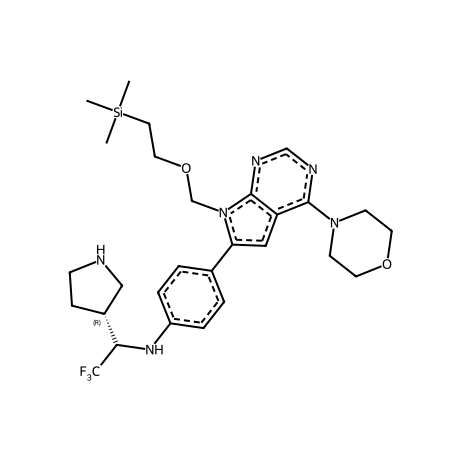 C[Si](C)(C)CCOCn1c(-c2ccc(NC([C@@H]3CCNC3)C(F)(F)F)cc2)cc2c(N3CCOCC3)ncnc21